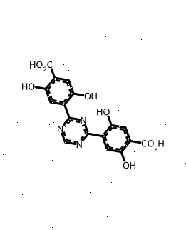 O=C(O)c1cc(O)c(-c2ncnc(-c3cc(O)c(C(=O)O)cc3O)n2)cc1O